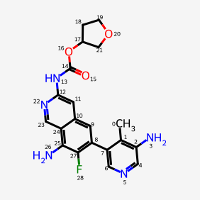 Cc1c(N)cncc1-c1cc2cc(NC(=O)OC3CCOC3)ncc2c(N)c1F